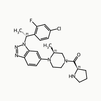 C[C@H](c1ccc(Cl)cc1F)n1nnc2ccc(N3CCN(C(=O)[C@H]4CCCN4)C[C@@H]3C)cc21